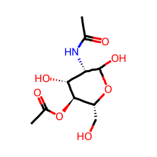 CC(=O)N[C@@H]1C(O)O[C@H](CO)[C@@H](OC(C)=O)[C@@H]1O